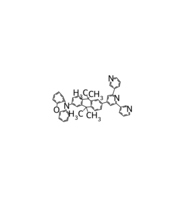 CC1(C)c2ccc(N3c4ccccc4Oc4ccccc43)cc2C(C)(C)c2ccc(-c3cc(-c4cccnc4)nc(-c4cccnc4)c3)cc21